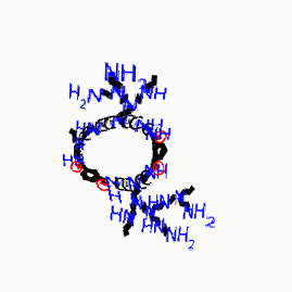 CCCNCCN(CCN(CCN)CCN)CCN1CCNCCN(CCC)CCNC(=O)c2cccc(c2)C(=O)NCCN(CCN(CCNCCC)CCN(CCNCCN)CCNCCN(CCC)CCN)CCNC(=O)c2cccc(c2)C(=O)NCNCC1